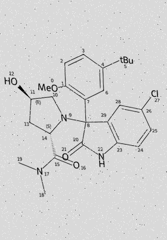 COc1ccc(C(C)(C)C)cc1C1(N2C[C@H](O)C[C@H]2C(=O)N(C)C)C(=O)Nc2ccc(Cl)cc21